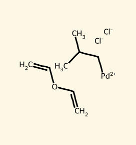 C=COC=C.CC(C)[CH2][Pd+2].[Cl-].[Cl-]